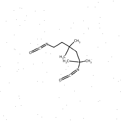 CC(C)(CCN=C=O)CC(C)(C)N=C=O